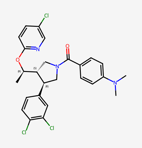 C[C@@H](Oc1ccc(Cl)cn1)[C@@H]1CN(C(=O)c2ccc(N(C)C)cc2)C[C@H]1c1ccc(Cl)c(Cl)c1